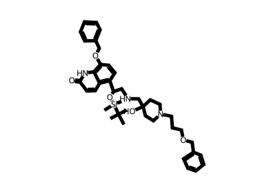 CC(C)(C)[Si](C)(C)OC(CNCC1(O)CCN(CCCOCc2ccccc2)CC1)c1ccc(OCc2ccccc2)c2[nH]c(=O)ccc12